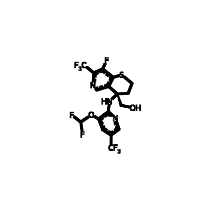 OC[C@]1(Nc2ncc(C(F)(F)F)cc2OC(F)F)CCSc2c1cnc(C(F)(F)F)c2F